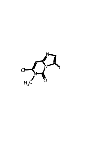 Cn1c(Cl)cc2ncc(I)n2c1=O